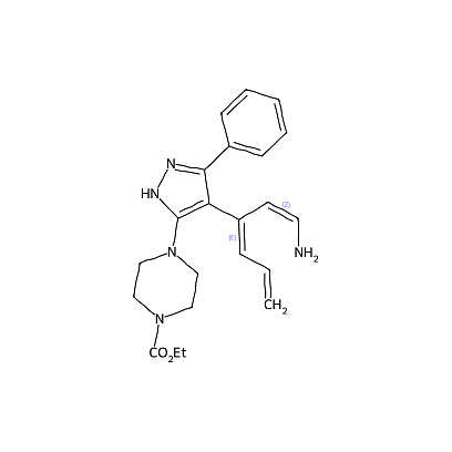 C=C/C=C(\C=C/N)c1c(-c2ccccc2)n[nH]c1N1CCN(C(=O)OCC)CC1